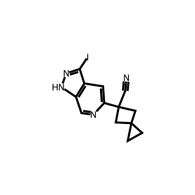 N#CC1(c2cc3c(I)n[nH]c3cn2)CC2(CC2)C1